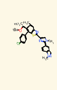 Cc1cc2nc(-c3cn(C)c(-c4ccc5c(cnn5C)c4)n3)sc2c(-c2ccc(Cl)cc2)c1[C@H](OC(C)(C)C)C(=O)O